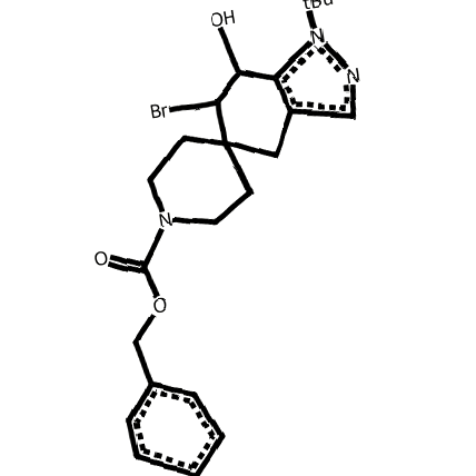 CC(C)(C)n1ncc2c1C(O)C(Br)C1(CCN(C(=O)OCc3ccccc3)CC1)C2